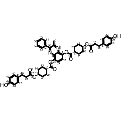 Cc1nc2c(OC(=O)[C@H]3CC[C@H](OC(=O)CCc4ccc(O)cc4)CC3)ccc(OC(=O)[C@H]3CC[C@H](OC(=O)CCc4ccc(O)cc4)CC3)c2nc1-c1ccccc1